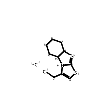 Cl.ClCC1=CSC2=NC3CCCCC3N12